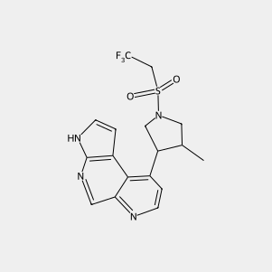 CC1CN(S(=O)(=O)CC(F)(F)F)CC1c1ccnc2cnc3[nH]ccc3c12